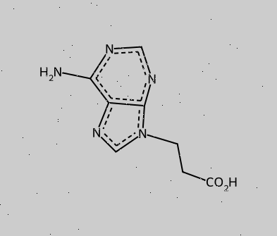 Nc1ncnc2c1ncn2CCC(=O)O